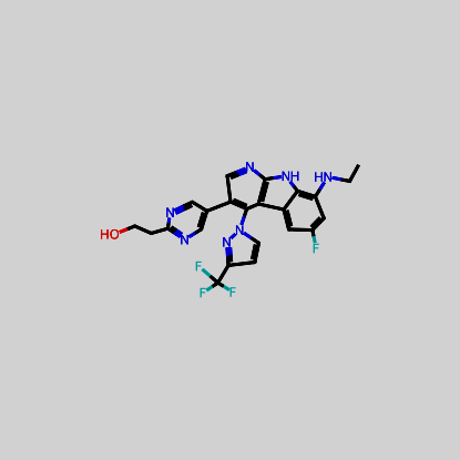 CCNc1cc(F)cc2c1[nH]c1ncc(-c3cnc(CCO)nc3)c(-n3ccc(C(F)(F)F)n3)c12